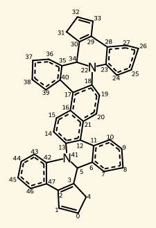 C1=CC2=C(C1)C1c3ccccc3-c3c(ccc4c5c(ccc34)N3c4ccccc4C4=C(CC=C4)C3c3ccccc3-5)N1c1ccccc12